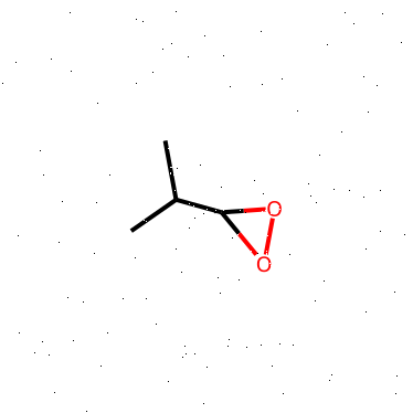 CC(C)[C]1OO1